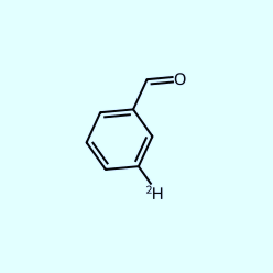 [2H]c1cccc(C=O)c1